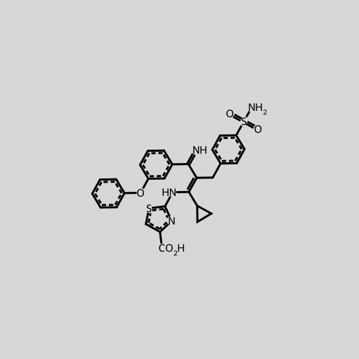 N=C(/C(Cc1ccc(S(N)(=O)=O)cc1)=C(\Nc1nc(C(=O)O)cs1)C1CC1)c1cccc(Oc2ccccc2)c1